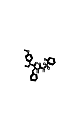 CCN(C(=O)[C@H](Cc1ccccc1)NC(=O)NS(=O)(=O)c1ccccc1F)c1ccc(OC)cc1